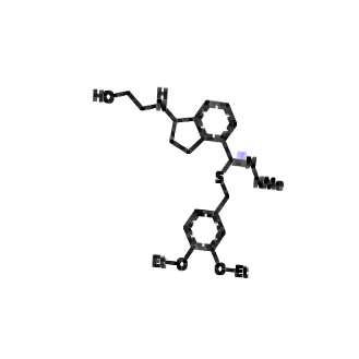 CCOc1ccc(CS/C(=N\NC)c2cccc3c2CCC3NCCO)cc1OCC